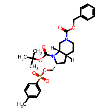 Cc1ccc(S(=O)(=O)OC[C@H]2C[C@H]3CCN(C(=O)OCc4ccccc4)C[C@H]3N2C(=O)OC(C)(C)C)cc1